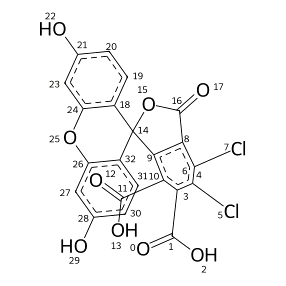 O=C(O)c1c(Cl)c(Cl)c2c(c1C(=O)O)C1(OC2=O)c2ccc(O)cc2Oc2cc(O)ccc21